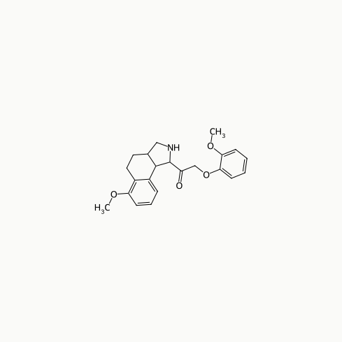 COc1ccccc1OCC(=O)C1NCC2CCc3c(OC)cccc3C21